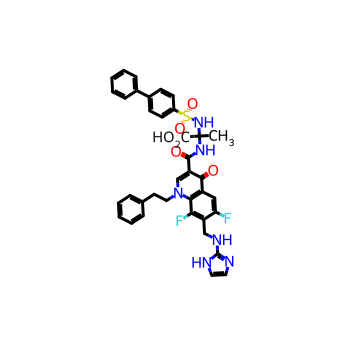 CC(NC(=O)c1cn(CCc2ccccc2)c2c(F)c(CNc3ncc[nH]3)c(F)cc2c1=O)(NS(=O)(=O)c1ccc(-c2ccccc2)cc1)C(=O)O